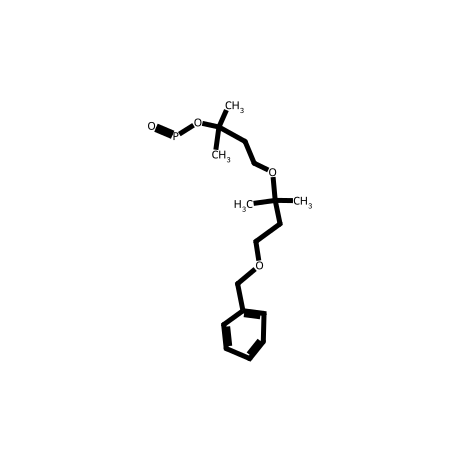 CC(C)(CCOCc1ccccc1)OCCC(C)(C)OP=O